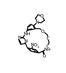 O=C1NCCCCOCc2cc(ccc2N2CCOCC2)Nc2nccc(n2)-c2ccc1cc2[N+](=O)[O-]